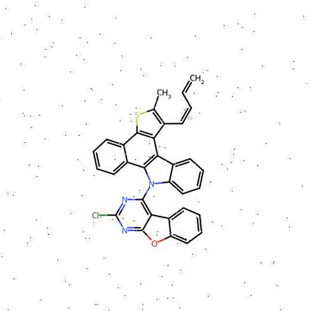 C=C/C=C\c1c(C)sc2c3ccccc3c3c(c4ccccc4n3-c3nc(Cl)nc4oc5ccccc5c34)c12